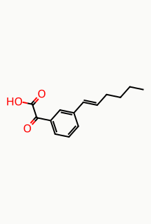 CCCCC=Cc1cccc(C(=O)C(=O)O)c1